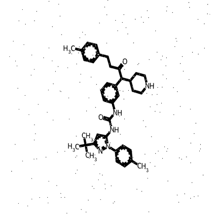 Cc1ccc(CCC(=O)C(c2cccc(NC(=O)Nc3cc(C(C)(C)C)nn3-c3ccc(C)cc3)c2)C2CCNCC2)cc1